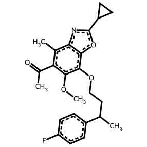 COc1c(C(C)=O)c(C)c2nc(C3CC3)oc2c1OCCC(C)c1ccc(F)cc1